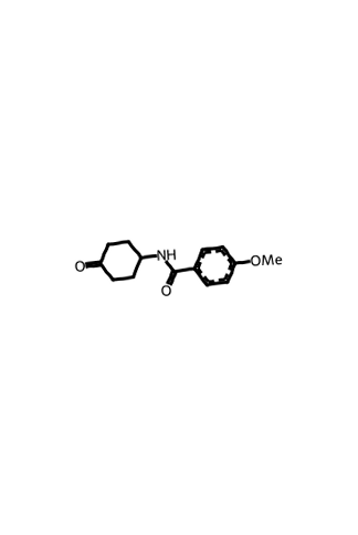 COc1ccc(C(=O)NC2CCC(=O)CC2)cc1